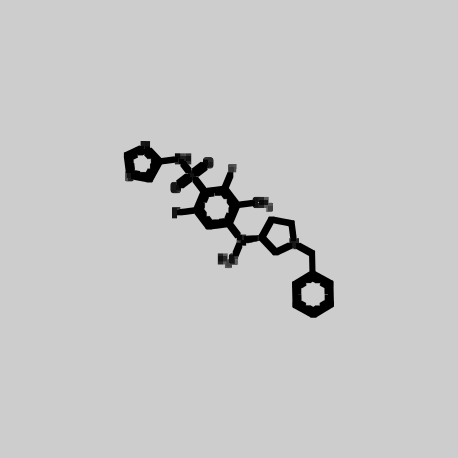 Cc1c(N(C)[C@H]2CCN(Cc3ccccc3)C2)cc(F)c(S(=O)(=O)Nc2cscn2)c1F